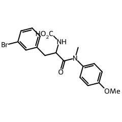 COc1ccc(N(C)C(=O)C(Cc2cccc(Br)c2)NC(=O)O)cc1